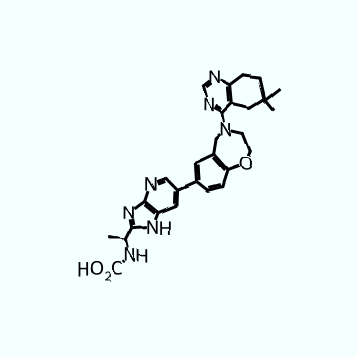 C[C@H](NC(=O)O)c1nc2ncc(-c3ccc4c(c3)CN(c3ncnc5c3CC(C)(C)CC5)CCO4)cc2[nH]1